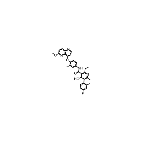 CCc1nc(C)c(-c2ccc(F)cc2C)c(O)c1C(=O)Nc1ccc(Oc2ccnc3ccc(OC)nc23)c(F)c1